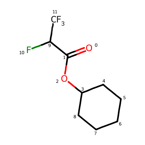 O=C(OC1CCCCC1)C(F)C(F)(F)F